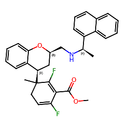 COC(=O)C1=C(F)C(C)([C@@H]2C[C@H](CN[C@H](C)c3cccc4ccccc34)Oc3ccccc32)CC=C1F